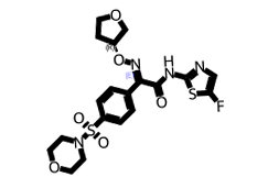 O=C(Nc1ncc(F)s1)/C(=N/O[C@@H]1CCOC1)c1ccc(S(=O)(=O)N2CCOCC2)cc1